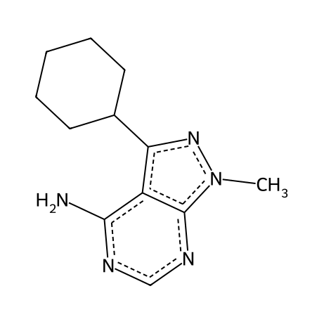 Cn1nc(C2CCCCC2)c2c(N)ncnc21